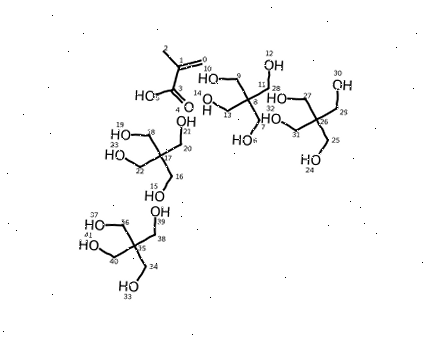 C=C(C)C(=O)O.OCC(CO)(CO)CO.OCC(CO)(CO)CO.OCC(CO)(CO)CO.OCC(CO)(CO)CO